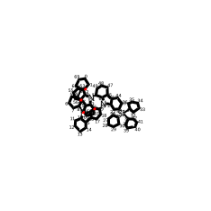 c1ccc(-c2cccc(-n3c4ccccc4c4ccc(-n5c6cc([Si](c7ccccc7)(c7ccccc7)c7ccccc7)ccc6c6cccc(-n7c8ccccc8c8ccccc87)c65)cc43)c2)cc1